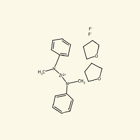 C1CCOC1.C1CCOC1.C[N]([Zr+2][N](C)c1ccccc1)c1ccccc1.[F-].[F-]